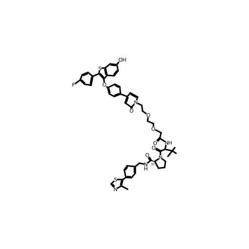 Cc1ncsc1-c1ccc(CNC(=O)[C@@H]2CCCN2C(=O)C(NC(=O)COCCOCCn2ccc(-c3ccc(Oc4c(-c5ccc(F)cc5)sc5cc(O)ccc45)cc3)cc2=O)C(C)(C)C)cc1